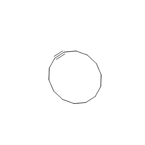 C1#CCCCCCCCCCCCC1